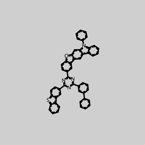 c1ccc(-c2cccc(-c3nc(-c4ccc5oc6cc7c(cc6c5c4)c4ccccc4n7-c4ccccc4)nc(-c4ccc5sc6ccccc6c5c4)n3)c2)cc1